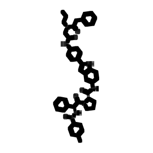 CCCN(CC(=O)Nc1ccc(-c2cc3cc(NC(=O)[C@@H]4CCCN4C(=O)[C@H](N[S+]([O-])c4ccc(C)cc4)c4ccccc4)ccc3[nH]2)cc1)C(=O)Cc1ccccc1